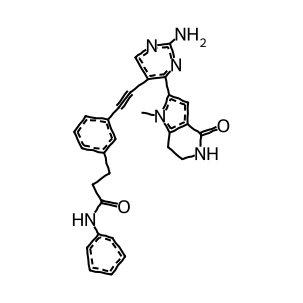 Cn1c(-c2nc(N)ncc2C#Cc2cccc(CCC(=O)Nc3ccccc3)c2)cc2c1CCNC2=O